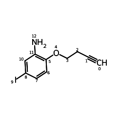 C#CCCOc1ccc(I)cc1N